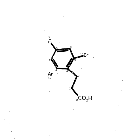 O=C(O)CCc1ccc(F)cc1Br.[Ar]